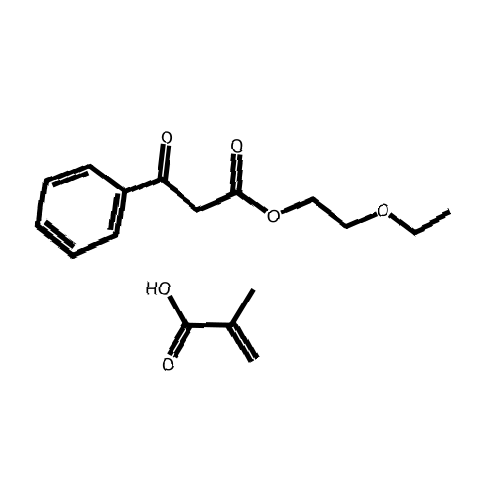 C=C(C)C(=O)O.CCOCCOC(=O)CC(=O)c1ccccc1